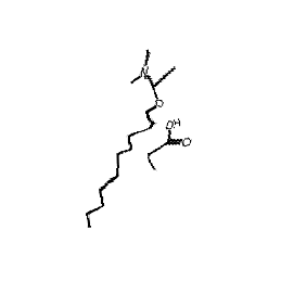 CCC(=O)O.CCCCCCCCCCOC(C)N(C)C